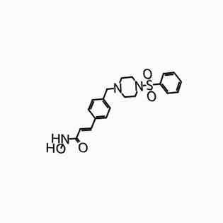 O=C(C=Cc1ccc(CN2CCN(S(=O)(=O)c3ccccc3)CC2)cc1)NO